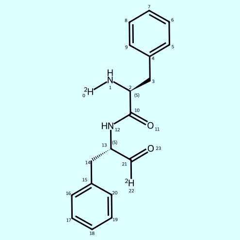 [2H]N[C@@H](Cc1ccccc1)C(=O)N[C@@H](Cc1ccccc1)C([2H])=O